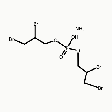 N.O=P(O)(OCC(Br)CBr)OCC(Br)CBr